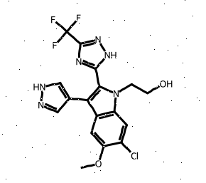 COc1cc2c(-c3cn[nH]c3)c(-c3nc(C(F)(F)F)n[nH]3)n(CCO)c2cc1Cl